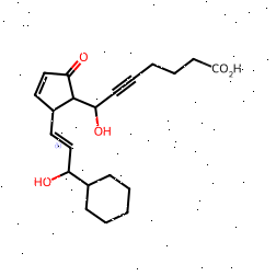 O=C(O)CCCC#CC(O)C1C(=O)C=CC1/C=C/C(O)C1CCCCC1